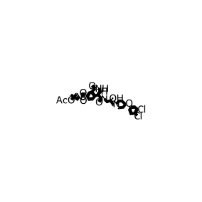 CC(=O)OC1(C)CN(S(=O)(=O)c2ccc3c(C(=O)NC[C@@H](O)CN4CCC(Oc5ccc(Cl)c(Cl)c5)CC4)c[nH]c(=O)c3c2)C1